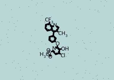 Cc1cnc2c(C(F)(F)F)cccc2c1-c1cccc(Oc2nc(S(C)(=O)=O)cc(Cl)c2O)c1